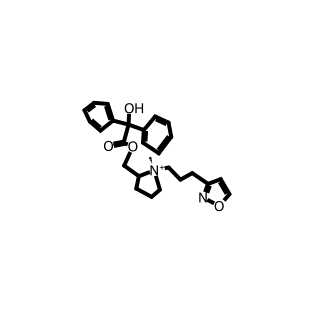 C[N@+]1(CCCc2ccon2)CCCC1COC(=O)C(O)(c1ccccc1)c1ccccc1